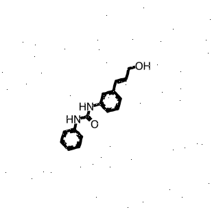 O=C(Nc1ccccc1)Nc1cccc(/C=C/CO)c1